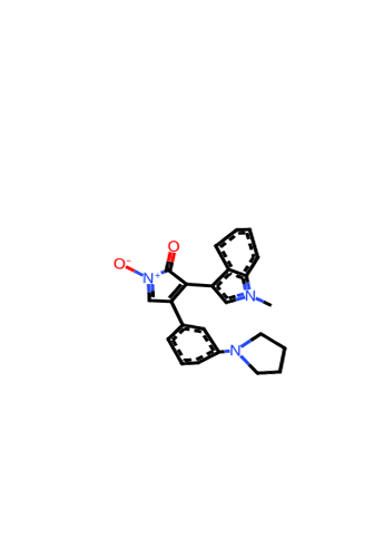 Cn1cc(C2=C(c3cccc(N4CCCC4)c3)C=[N+]([O-])C2=O)c2ccccc21